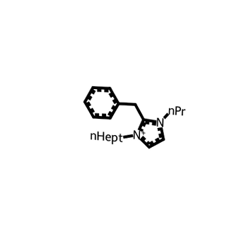 CCCCCCC[n+]1ccn(CCC)c1Cc1ccccc1